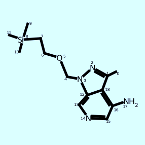 Cc1nn(COCC[Si](C)(C)C)c2cncc(N)c12